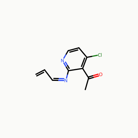 C=C/C=N\c1nccc(Cl)c1C(C)=O